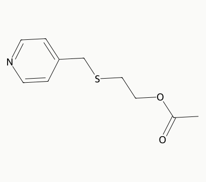 CC(=O)OCCSCc1ccncc1